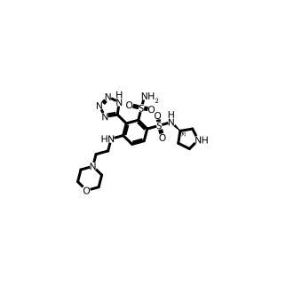 NS(=O)(=O)c1c(S(=O)(=O)N[C@@H]2CCNC2)ccc(NCCN2CCOCC2)c1-c1nnn[nH]1